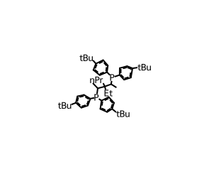 CCCC(CC)(C(C)P(c1ccc(C(C)(C)C)cc1)c1ccc(C(C)(C)C)cc1)C(C)P(c1ccc(C(C)(C)C)cc1)c1ccc(C(C)(C)C)cc1